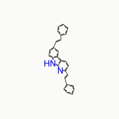 C(=Cc1ccc2[nH]c3nc(C=Cc4ccccc4)ccc3c2c1)c1ccccc1